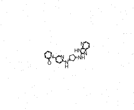 O=c1ccccn1-c1ccc(N[C@H]2CC[C@H](Nc3nc4cccnc4[nH]3)C2)nc1